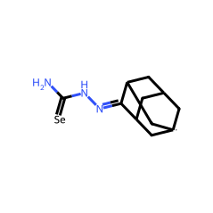 NC(=[Se])NN=C1C2C[C]3CC(C2)CC1C3